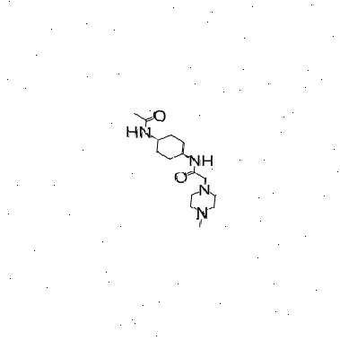 CC(=O)N[C@H]1CC[C@@H](NC(=O)CN2CCN(C)CC2)CC1